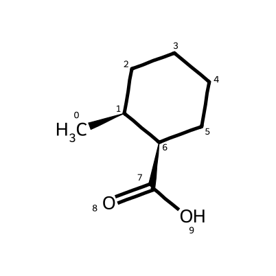 C[C@H]1CCCC[C@H]1C(=O)O